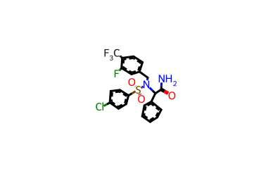 NC(=O)C(c1ccccc1)N(Cc1ccc(C(F)(F)F)c(F)c1)S(=O)(=O)c1ccc(Cl)cc1